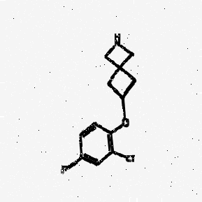 Fc1ccc(OC2CC3(CNC3)C2)c(Cl)c1